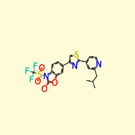 CC(C)Cc1cc(-c2nc(-c3ccc4c(c3)oc(=O)n4S(=O)(=O)C(F)(F)F)cs2)ccn1